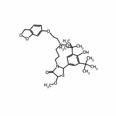 COC1SC(c2cc(C(C)(C)C)c(O)c(C(C)(C)C)c2)N(CCCN(C)CCOc2ccc3c(c2)OOC3)C1=O